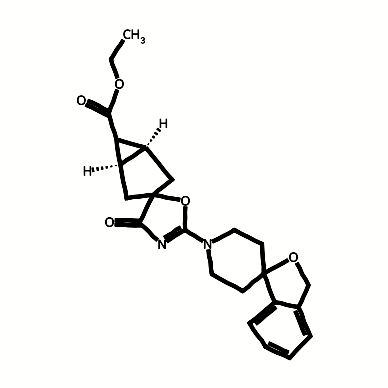 CCOC(=O)C1[C@H]2CC3(C[C@@H]12)OC(N1CCC2(CC1)OCc1ccccc12)=NC3=O